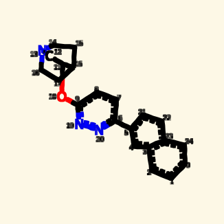 c1ccc2cc(-c3ccc(OC4CN5CCC4CC5)nn3)ccc2c1